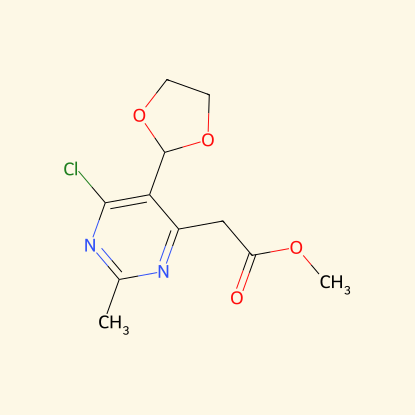 COC(=O)Cc1nc(C)nc(Cl)c1C1OCCO1